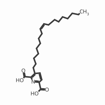 CCCCCCCC/C=C\CCCCCCCCc1ccc(C(=O)O)nc1C(=O)O